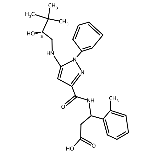 Cc1ccccc1C(CC(=O)O)NC(=O)c1cc(NC[C@@H](O)C(C)(C)C)n(-c2ccccc2)n1